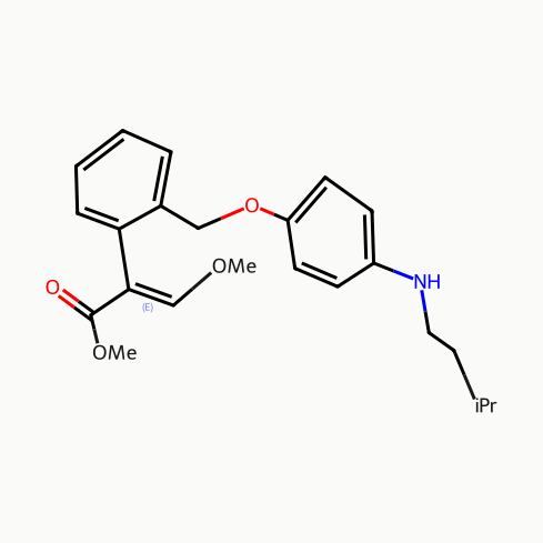 CO/C=C(/C(=O)OC)c1ccccc1COc1ccc(NCCC(C)C)cc1